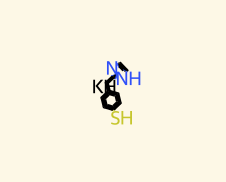 Sc1ccc(Cc2ncc[nH]2)cc1.[KH]